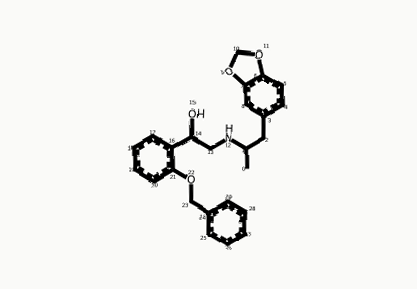 CC(Cc1ccc2c(c1)OCO2)NCC(O)c1ccccc1OCc1ccccc1